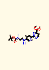 COC(OC)c1ccnc(-c2ccc(NCCNC(=O)OC(C)(C)C)cn2)n1